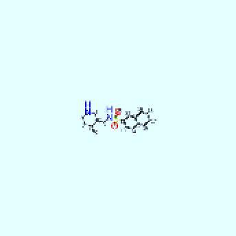 C=C1CCNC[C@H]1CNS(=O)(=O)c1ccc2ccccc2c1